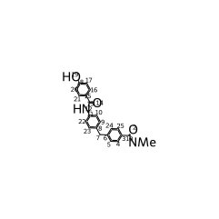 CNC(=O)c1ccc(Cc2ccc(NC(=O)c3ccc(O)cc3)cc2)cc1